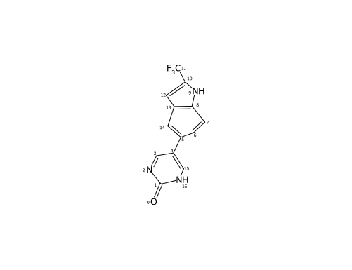 O=c1ncc(-c2ccc3[nH]c(C(F)(F)F)cc3c2)c[nH]1